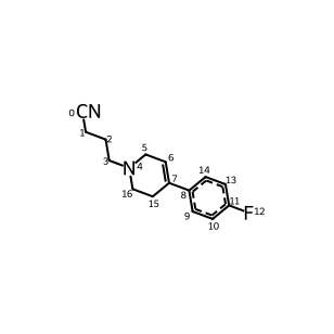 N#CCCCN1CC=C(c2ccc(F)cc2)CC1